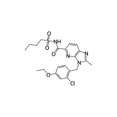 CCCCS(=O)(=O)NC(=O)c1ccc2nc(C)n(Cc3ccc(OCC)cc3Cl)c2n1